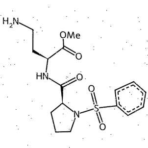 COC(=O)[C@H](CCN)NC(=O)[C@@H]1CCCN1S(=O)(=O)c1ccccc1